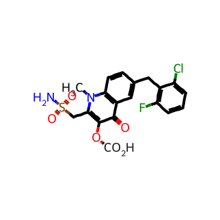 Cn1c(CS(N)(=O)=O)c(OC(=O)O)c(=O)c2cc(Cc3c(F)cccc3Cl)ccc21